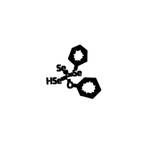 [Se]=P([SeH])(Oc1ccccc1)[Se]c1ccccc1